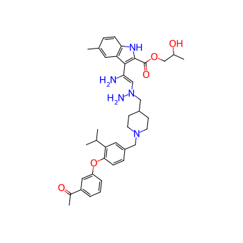 CC(=O)c1cccc(Oc2ccc(CN3CCC(CN(N)/C=C(\N)c4c(C(=O)OCC(C)O)[nH]c5ccc(C)cc45)CC3)cc2C(C)C)c1